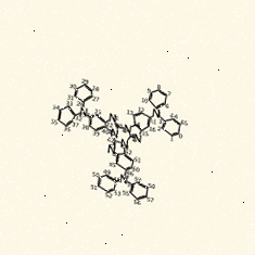 c1ccc(N(c2ccccc2)c2ccc3c(c2)nc2n3c3nc4cc(N(c5ccccc5)c5ccccc5)ccc4n3c3nc4cc(N(c5ccccc5)c5ccccc5)ccc4n23)cc1